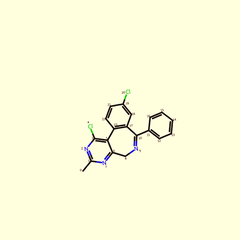 Cc1nc(Cl)c2c(n1)CN=C(c1ccccc1)c1cc(Cl)ccc1-2